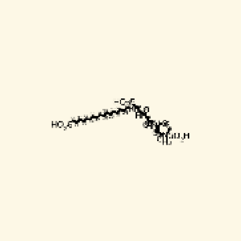 CC1N[C@H](C(=O)O)CSSC[C@H](NCC(=O)CNC(=O)CC[C@@H](NC(=O)CCCCCCCCCCCCCCCCC(=O)O)C(=O)O)C1=O